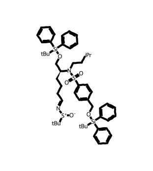 CC(C)CCN([C@@H](CCCC=N[S+]([O-])C(C)(C)C)CO[Si](c1ccccc1)(c1ccccc1)C(C)(C)C)S(=O)(=O)c1ccc(CO[Si](c2ccccc2)(c2ccccc2)C(C)(C)C)cc1